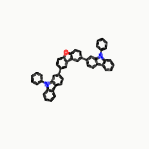 c1ccc(-n2c3ccccc3c3ccc(-c4ccc5oc6ccc(-c7ccc8c9ccccc9n(-c9ccccc9)c8c7)cc6c5c4)cc32)cc1